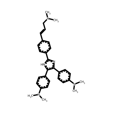 CN(C)C/C=C/c1ccc(-c2nc(-c3ccc(N(C)C)cc3)c(-c3ccc(N(C)C)cc3)[nH]2)cc1